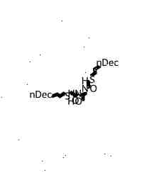 CCCCCCCCCCCCCCSCC(=O)NCC(CO)NC(=O)CSCCCCCCCCCCCCCC